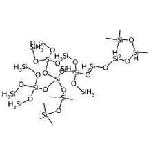 C[SiH](O[SiH2]O[SiH2]O[Si](O[SiH3])(O[SiH3])O[Si](O[Si](C)(C)O[Si](C)(C)C)(O[Si](O[SiH3])(O[SiH3])O[SiH3])O[Si](O[SiH3])(O[SiH3])O[SiH3])O[Si](C)(C)C